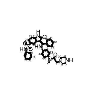 CN(C(=O)CN1CCNCC1)c1ccc(NC(=C2C(=O)Nc3ccc(S(=O)(=O)Nc4ccccc4)cc32)c2ccccc2)cc1